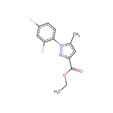 CCOC(=O)c1cc(C)n(-c2ccc(F)cc2F)n1